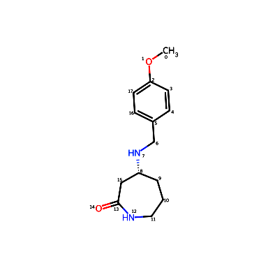 COc1ccc(CN[C@@H]2CCCNC(=O)C2)cc1